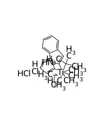 C[C](C)=[Ti]([CH3])([CH3])([CH3])([CH3])([C]1=CC=CC1)([c]1cc2ccccc2[nH]1)[C](C)(C)C.Cl.Cl